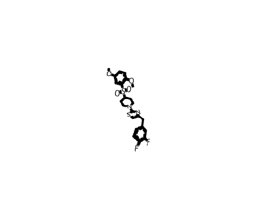 COc1ccc(OC)c(S(=O)(=O)C2CCN(c3nc(Cc4ccc(F)c(F)c4)cs3)CC2)c1